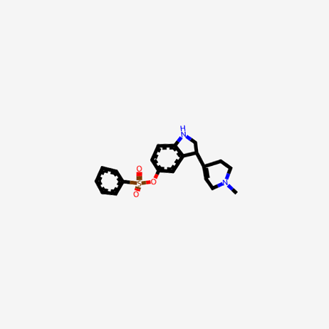 CN1CC=C(C2CNc3ccc(OS(=O)(=O)c4ccccc4)cc32)CC1